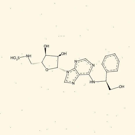 O=S(=O)(O)NC[C@H]1O[C@@H](n2cnc3c(N[C@H](CO)c4ccccc4)ncnc32)[C@H](O)[C@@H]1O